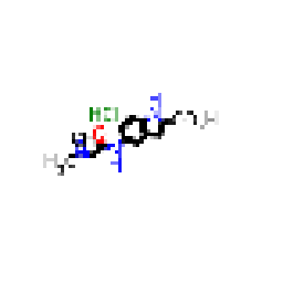 CN(C)CC(=O)Nc1ccc2[nH]c(C(=O)O)cc2c1.Cl